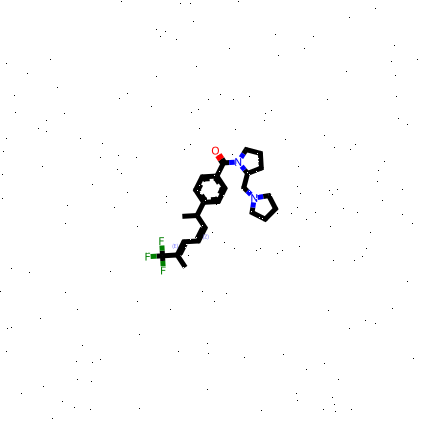 C/C(=C\C=C/C(C)c1ccc(C(=O)N2CCCC2CN2CCCC2)cc1)C(F)(F)F